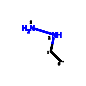 [CH2]CNN